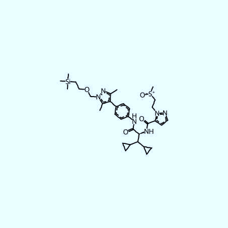 Cc1nn(COCC[Si](C)(C)C)c(C)c1-c1ccc(NC(=O)[C@@H](NC(=O)c2ccnn2CC[S+](C)[O-])C(C2CC2)C2CC2)cc1